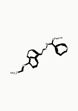 CCCCCC(NOCCC1=CCCc2c(OCC(=O)O)cccc21)c1cccnc1